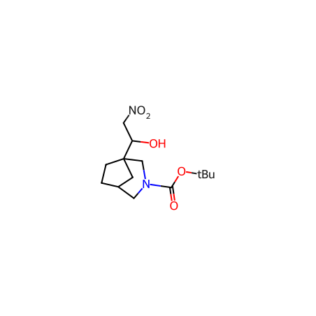 CC(C)(C)OC(=O)N1CC2CCC(C(O)C[N+](=O)[O-])(C2)C1